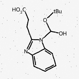 CC(C)(C)OC(O)n1c(CCC(=O)O)nc2ccccc21